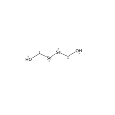 OC[Se][Se]CO